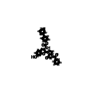 O=C(NC(Cc1ccc(O)cc1)C(=O)N1CCC2C1C(=O)CN2C(=O)c1ccccn1)Oc1ccc(-c2ccccc2)cc1